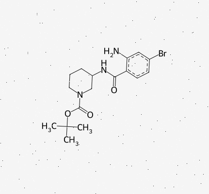 CC(C)(C)OC(=O)N1CCCC(NC(=O)c2ccc(Br)cc2N)C1